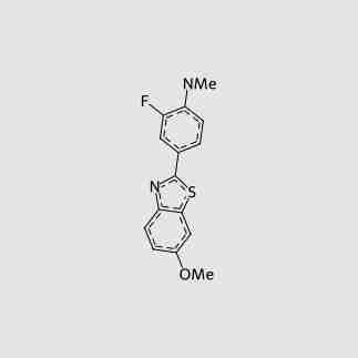 CNc1ccc(-c2nc3ccc(OC)cc3s2)cc1F